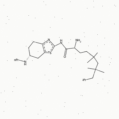 CCCN[C@@H]1CCc2nc(NC(=O)C(N)CCC(C)(C)CC(C)(C)CC(C)C)sc2C1